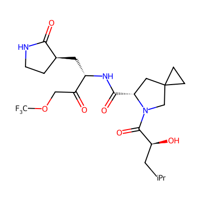 CC(C)C[C@H](O)C(=O)N1CC2(CC2)C[C@H]1C(=O)N[C@@H](C[C@H]1CCNC1=O)C(=O)COC(F)(F)F